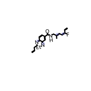 C=CCC/N=C1/C=CC(C(=O)NC/C(C)=C/C=C(/F)C=C)=C/C1=N/CC